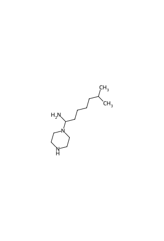 CC(C)CCCCC(N)N1CCNCC1